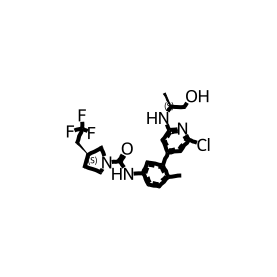 Cc1ccc(NC(=O)N2CC[C@@H](CC(F)(F)F)C2)cc1-c1cc(Cl)nc(N[C@@H](C)CO)c1